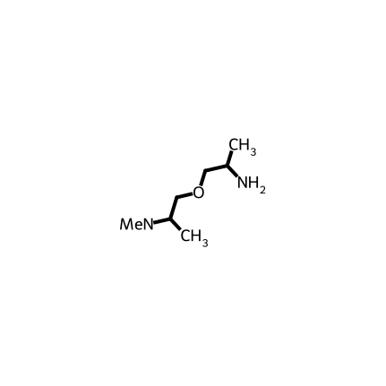 CNC(C)COCC(C)N